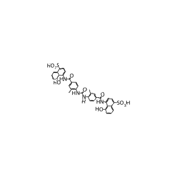 Cc1cc(C(=O)Nc2ccc(S(=O)(=O)O)c3cccc(O)c23)ccc1NC(=O)Nc1ccc(C(=O)Nc2ccc(S(=O)(=O)O)c3cccc(O)c23)cc1C